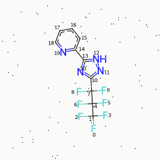 FC(F)(F)C(F)(F)C(F)(F)c1n[nH]c(-c2ccccn2)n1